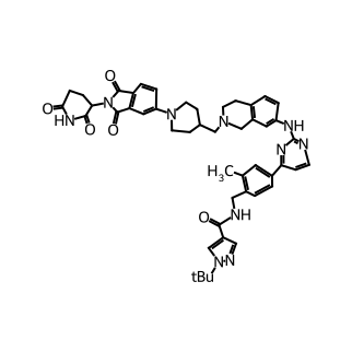 Cc1cc(-c2ccnc(Nc3ccc4c(c3)CN(CC3CCN(c5ccc6c(c5)C(=O)N(C5CCC(=O)NC5=O)C6=O)CC3)CC4)n2)ccc1CNC(=O)c1cnn(C(C)(C)C)c1